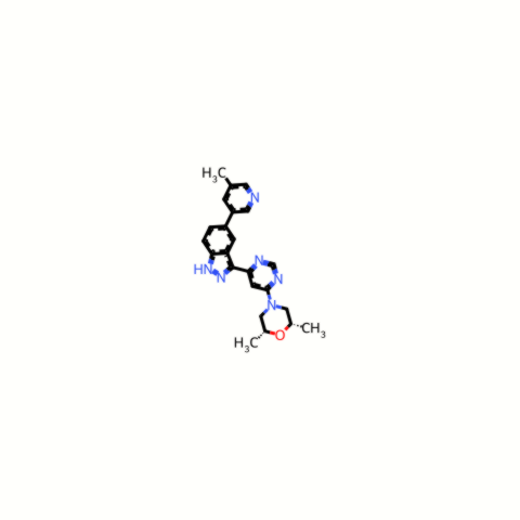 Cc1cncc(-c2ccc3[nH]nc(-c4cc(N5C[C@@H](C)O[C@@H](C)C5)ncn4)c3c2)c1